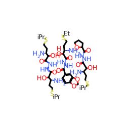 CC(C)SCCC(N)C(O)C(=O)NNC(=O)C1CCCO1.CC(C)SCC[C@@H](N)C(O)C(=O)NNC(=O)C(O)[C@@H](N)CCSC(C)C.CCSCC[C@@H](N)C(O)C(=O)NNC(=O)c1ccc2c(c1)OCO2